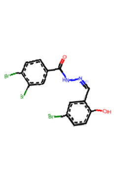 O=C(N/N=C\c1cc(Br)ccc1O)c1ccc(Br)c(Br)c1